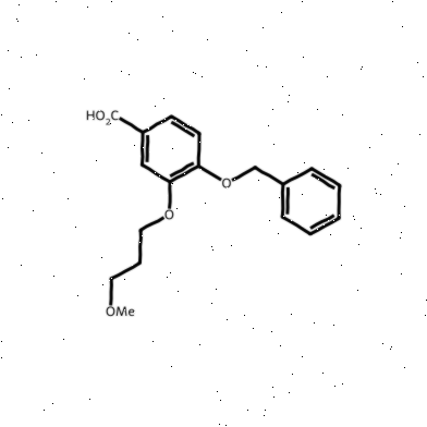 COCCCOc1cc(C(=O)O)ccc1OCc1ccccc1